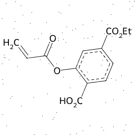 C=CC(=O)Oc1cc(C(=O)OCC)ccc1C(=O)O